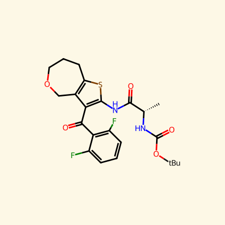 C[C@H](NC(=O)OC(C)(C)C)C(=O)Nc1sc2c(c1C(=O)c1c(F)cccc1F)COCCC2